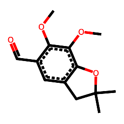 COc1c(C=O)cc2c(c1OC)OC(C)(C)C2